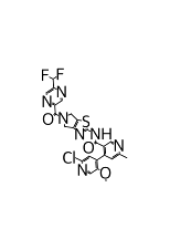 COc1cnc(Cl)cc1-c1cc(C)ncc1C(=O)Nc1nc2c(s1)CN(C(=O)c1cnc(C(F)F)cn1)C2